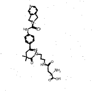 CC1(C)CC(c2ccc(NC(=O)N3Cc4ccncc4C3)cc2)=NN(CCCNC(=O)C[C@H](N)C(=O)O)C1=O